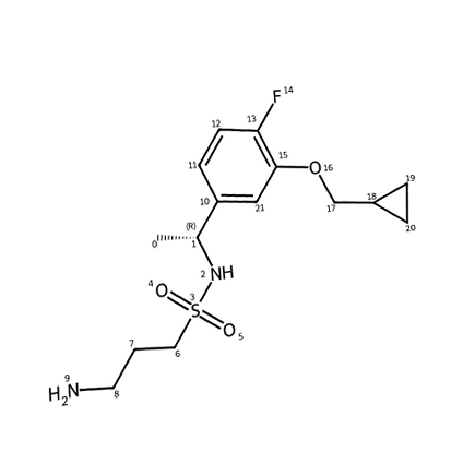 C[C@@H](NS(=O)(=O)CCCN)c1ccc(F)c(OCC2CC2)c1